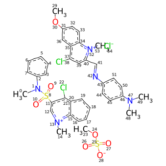 CN(c1ccccc1)S(=O)(=O)c1c[n+](C)c2ccccc2c1Cl.COS(=O)(=O)[O-].COc1ccc2c(c1)c(Cl)cc(C=Nc1ccc(N(C)C)cc1)[n+]2C.[Cl-]